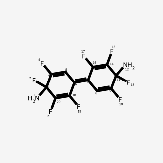 NC1(F)C(F)=C/C(=C2/C=C(F)C(N)(F)C(F)=C2F)C(F)=C1F